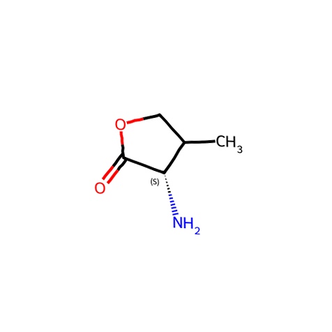 CC1COC(=O)[C@H]1N